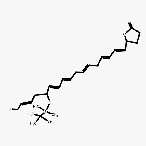 CCC=CCC(C=CC=CCC=CCC=CC=CC1CCC(=O)O1)O[Si](C)(C)C(C)(C)C